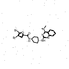 CN(C)c1nc(N[C@H]2CC[C@@H](NC(=O)c3cc(Br)c(Br)o3)CC2)nc2ccccc12